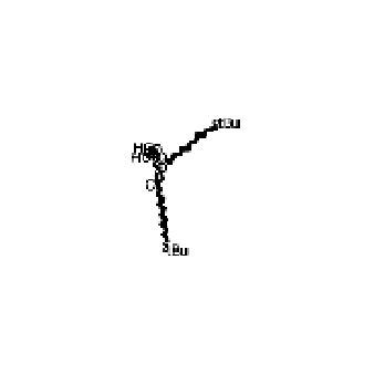 CC(C)(C)SCCCCCCCCCCCC(=O)OC[C@H](COP(=O)(O)O)OC(=O)CCCCCCCCCCCSC(C)(C)C